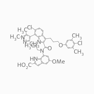 COc1cc(N2C[C@@H](C)n3c(c(CCCOc4cc(C)c(Cl)c(C)c4)c4ccc(Cl)c(-c5c(C)nn(C)c5C)c43)C2=O)c2[nH]c(C(=O)O)cc2c1